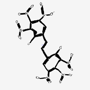 O=[N+]([O-])c1cc(/C=C/c2cc([N+](=O)[O-])c([N+](=O)[O-])c([N+](=O)[O-])c2Cl)c(Cl)c([N+](=O)[O-])c1[N+](=O)[O-]